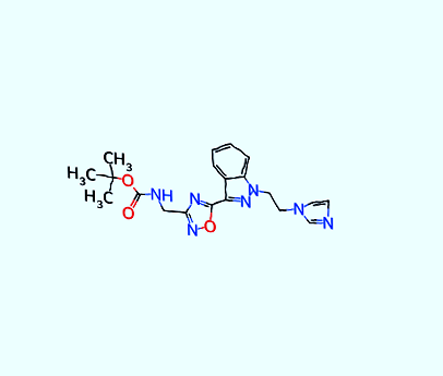 CC(C)(C)OC(=O)NCc1noc(-c2nn(CCn3ccnc3)c3ccccc23)n1